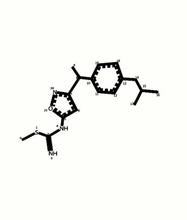 CSC(=N)Nc1cc(C(C)c2ccc(CC(C)C)cc2)no1